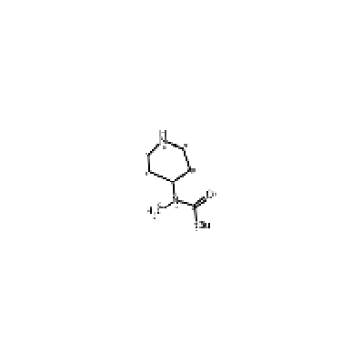 CN(C(=O)C(C)(C)C)C1CCNCC1